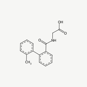 Cc1ccccc1-c1ccccc1C(=O)NCC(=O)O